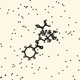 C=C(C)C(=O)OCC(CC(F)(F)C(F)(C(F)(F)F)C(F)(F)F)OC(=O)C1CCCCCCC1